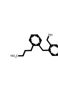 O=C(O)CCCc1ccccc1Cc1ccccc1CO